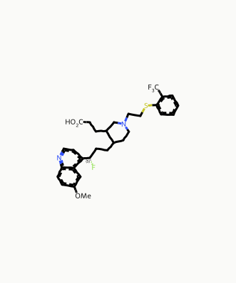 COc1ccc2nccc([C@@H](F)CCC3CCN(CCSc4ccccc4C(F)(F)F)CC3CCC(=O)O)c2c1